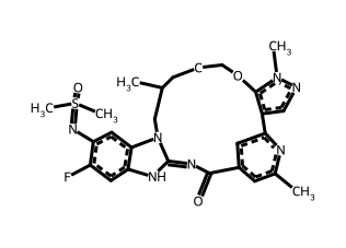 Cc1cc2cc(n1)-c1cnn(C)c1OCCCC(C)CN1/C(=N/C2=O)Nc2cc(F)c(N=S(C)(C)=O)cc21